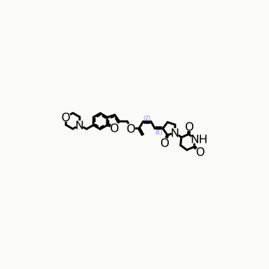 C=C(/C=C\C=C1/CCN(C2CCC(=O)NC2=O)C1=O)OCc1cc2ccc(CN3CCOCC3)cc2o1